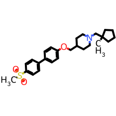 CC1(CN2CCC(COc3ccc(-c4ccc(S(C)(=O)=O)cc4)cc3)CC2)CCCC1